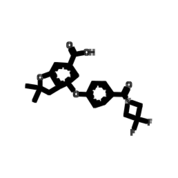 CC1(C)Cc2c(Oc3ccc(C(=O)N4CC(F)(F)C4)cc3)cc(C(=O)O)cc2O1